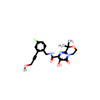 CCOCC#Cc1cc(F)ccc1CNC(=O)c1nc2n(c(=O)c1O)CCOC2(C)C